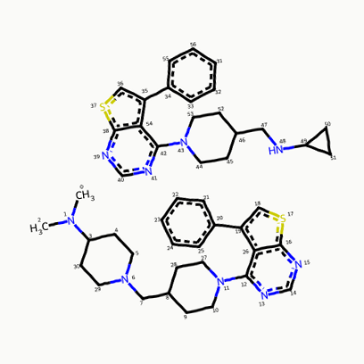 CN(C)C1CCN(CC2CCN(c3ncnc4scc(-c5ccccc5)c34)CC2)CC1.c1ccc(-c2csc3ncnc(N4CCC(CNC5CC5)CC4)c23)cc1